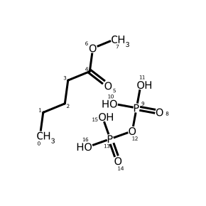 CCCCC(=O)OC.O=P(O)(O)OP(=O)(O)O